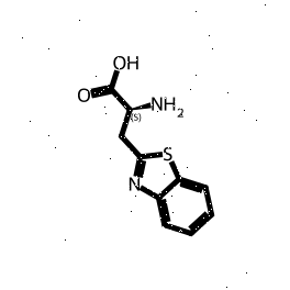 N[C@@H](Cc1nc2ccccc2s1)C(=O)O